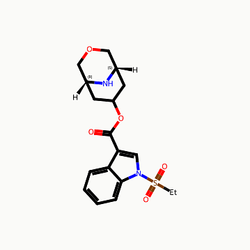 CCS(=O)(=O)n1cc(C(=O)OC2C[C@H]3COC[C@@H](C2)N3)c2ccccc21